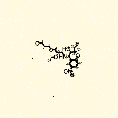 CCO/C(=C\OCCC=O)CNC1c2cc([N+](=O)[O-])ccc2OC(C)(CC)C1O